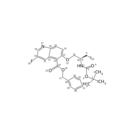 CC(C)(C)OC(=O)N[C@H](CI)COc1ccc2ncc(F)cc2c1C(=O)OCc1ccccc1